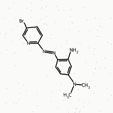 CN(C)c1ccc(N=Nc2ccc(Br)cn2)c(N)c1